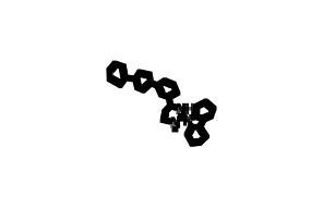 CN1C=CC(c2cccc(-c3ccc(-c4ccccc4)cc3)c2)NC1n1c2ccccc2c2ccccc21